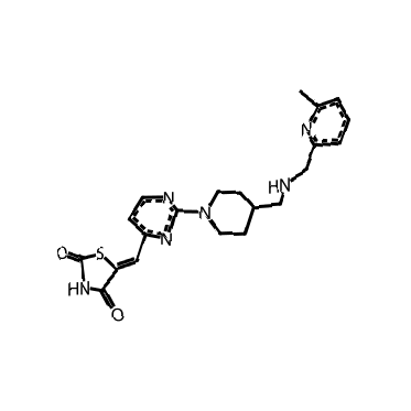 Cc1cccc(CNCC2CCN(c3nccc(/C=C4\SC(=O)NC4=O)n3)CC2)n1